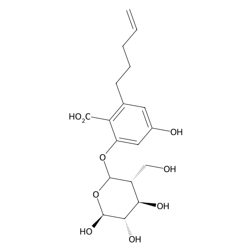 C=CCCCc1cc(O)cc(OC2O[C@H](O)[C@@H](O)[C@H](O)[C@H]2CO)c1C(=O)O